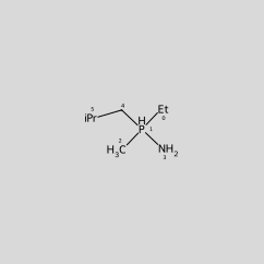 CC[PH](C)(N)CC(C)C